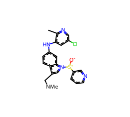 CNCc1cn([S+]([O-])c2cccnc2)c2cc(Nc3cc(Cl)cnc3C)ccc12